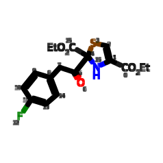 CCOC(=O)C1=CSC(C(=O)Cc2ccc(F)cc2)(C(=O)OCC)N1